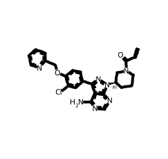 C=CC(=O)N1CCC[C@@H](n2nc(-c3ccc(OCc4ccccn4)c(Cl)c3)c3c(N)ncnc32)C1